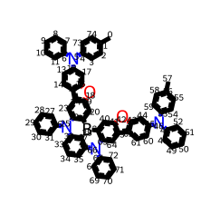 Cc1ccc(N(c2ccccc2)c2ccc3c(c2)oc2cc4c(cc23)N(c2ccccc2)c2cccc3c2B4c2cc4oc5cc(N(c6ccccc6)c6ccc(C)cc6)ccc5c4cc2N3c2ccccc2)cc1